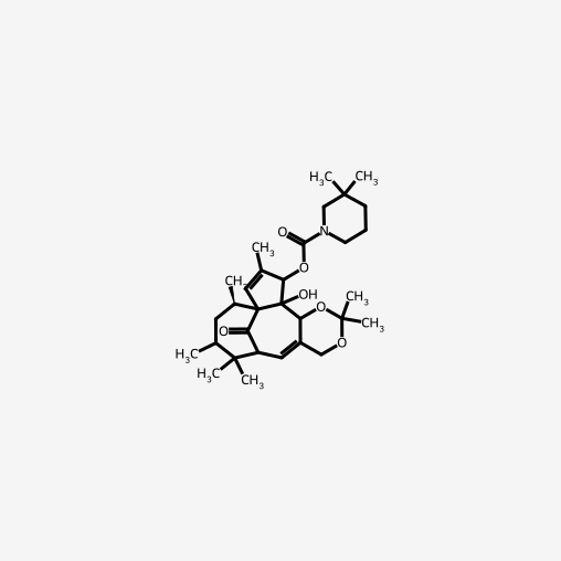 CC1=CC23C(=O)C(C=C4COC(C)(C)OC4C2(O)C1OC(=O)N1CCCC(C)(C)C1)C(C)(C)C(C)C[C@H]3C